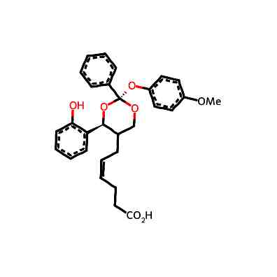 COc1ccc(O[C@]2(c3ccccc3)OCC(C/C=C\CCC(=O)O)[C@@H](c3ccccc3O)O2)cc1